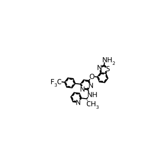 C[C@@H](Nc1nc(Oc2cccc3sc(N)nc23)cc(-c2ccc(C(F)(F)F)cc2)n1)c1ccccn1